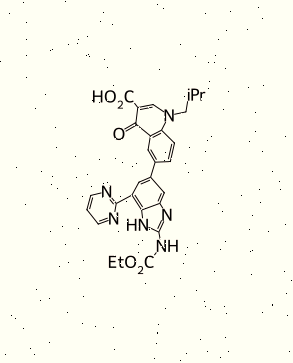 CCOC(=O)Nc1nc2cc(-c3ccc4c(c3)c(=O)c(C(=O)O)cn4CC(C)C)cc(-c3ncccn3)c2[nH]1